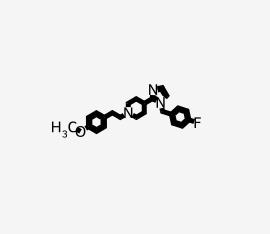 COc1ccc(CCN2CCC(c3nccn3Cc3ccc(F)cc3)CC2)cc1